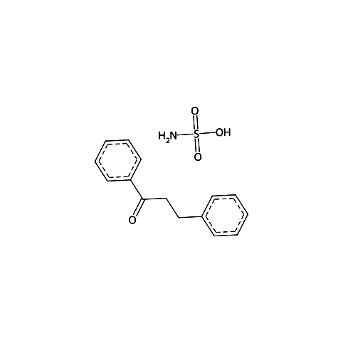 NS(=O)(=O)O.O=C(CCc1ccccc1)c1ccccc1